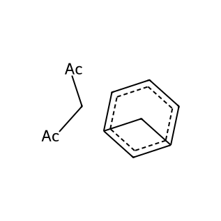 CC(=O)CC(C)=O.c1cc2cc(c1)C2